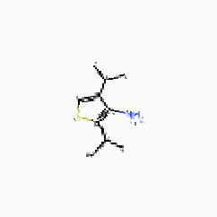 CC(C)c1csc(C(C)C)c1N